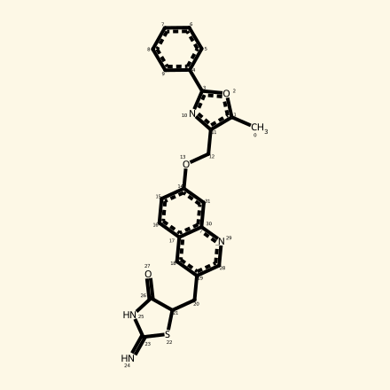 Cc1oc(-c2ccccc2)nc1COc1ccc2cc(CC3SC(=N)NC3=O)cnc2c1